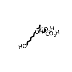 C=C(C)C(=O)O.C=C(C)C(=O)O.OC=CCCCCO